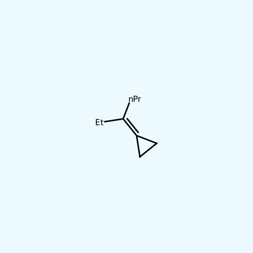 CCCC(CC)=C1CC1